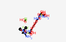 CC(C)(C)C(c1cc(-c2cc(F)ccc2F)cn1Cc1ccccc1)N(CCCN)C(=O)CSCC(NC(=O)CCOCCOCCOCCOCCNC(=O)CNC(=O)C(CC(=O)O)SCC(N)C(=O)O)C(=O)O.O=C(O)C(F)(F)F